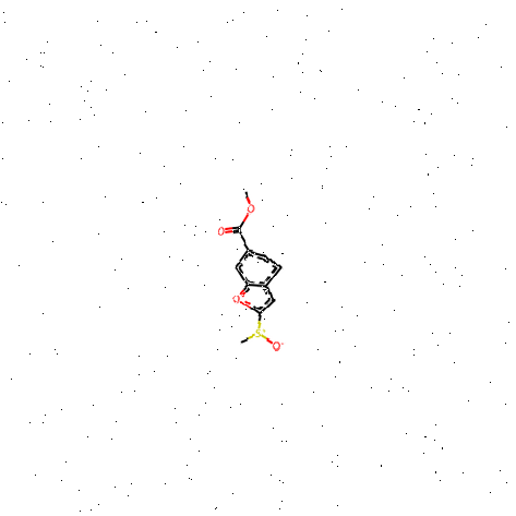 COC(=O)c1ccc2cc([S+](C)[O-])oc2c1